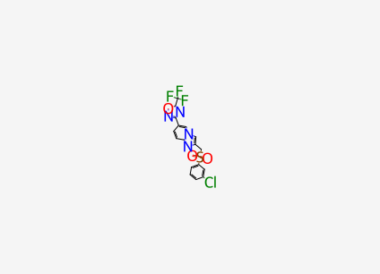 O=S(=O)(Cc1cn2cc(-c3noc(C(F)(F)F)n3)ccc2n1)c1cccc(Cl)c1